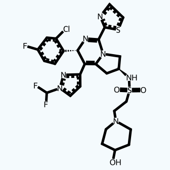 O=S(=O)(CCN1CCC(O)CC1)N[C@H]1CC2=C(c3ccn(C(F)F)n3)[C@H](c3ccc(F)cc3Cl)N=C(c3nccs3)N2C1